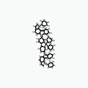 c1ccc(-n2ccc3ccc4c(c5ccccc5n4-c4ccc5c(c4)C(c4ccccc4)(c4ccccc4)c4cc(-n6c7ccccc7c7c8c(ccc76)ccn8-c6ccccc6)ccc4-5)c32)cc1